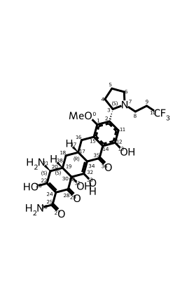 COc1c([C@@H]2CCCN2CCC(F)(F)F)cc(O)c2c1C[C@H]1C[C@H]3[C@H](N)C(O)=C(C(N)=O)C(=O)[C@@]3(O)C(O)=C1C2=O